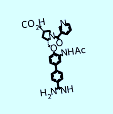 CC(=O)Nc1cc(-c2ccc(C(=N)N)cc2)ccc1OC[C@@H]1C[C@@H](CC(=O)O)CN1C(=O)c1cccnc1